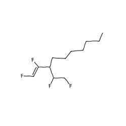 CCCCCCCC(/C(F)=C/F)C(F)CF